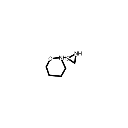 C1CCONC1.C1NS1